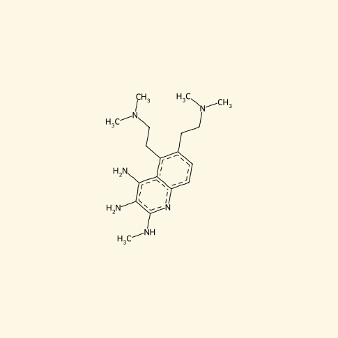 CNc1nc2ccc(CCN(C)C)c(CCN(C)C)c2c(N)c1N